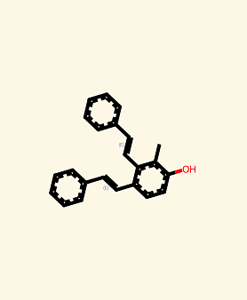 Cc1c(O)ccc(/C=C/c2ccccc2)c1/C=C/c1ccccc1